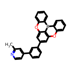 Cc1cc(-c2cccc(-c3cc4c5c(c3)Oc3ccccc3B5c3ccccc3O4)c2)ccn1